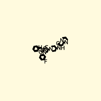 C[C@H](CN(c1cccc(F)c1)S(=O)(=O)Cc1ccccc1)N1CCC(NC(=O)Cc2ncccn2)CC1